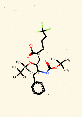 CC(C)(C)OC(=O)N[C@@H](Cc1ccccc1)[C@H](C[C@@H](CCCC(F)(F)F)C(=O)O)O[Si](C)(C)C(C)(C)C